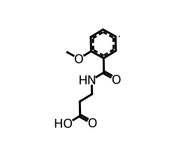 COc1cc[c]cc1C(=O)NCCC(=O)O